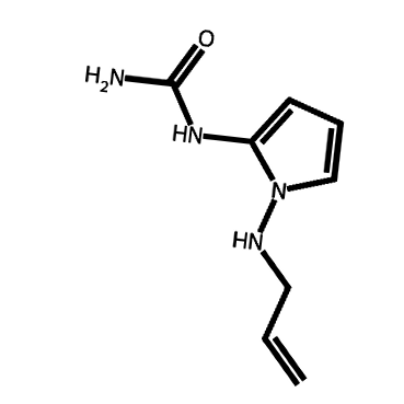 C=CCNn1cccc1NC(N)=O